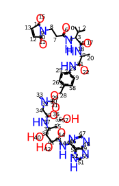 CC(C)[C@H](NC(=O)CCN1C(=O)C=CC1=O)C(=O)N[C@@H](C)C(=O)Nc1ccc(COC(=O)N(C)CC(=O)N[C@@H]2[C@@H](O)[C@H](O)[C@H](Nc3ncnc4nc[nH]c34)O[C@H]2CO)cc1